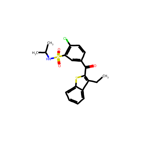 CCc1c(C(=O)c2ccc(Cl)c(S(=O)(=O)NC(C)C)c2)sc2ccccc12